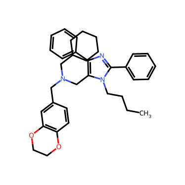 CCCCn1c(-c2ccccc2)nc(-c2ccccc2)c1CN(Cc1ccc2c(c1)OCCO2)CC1CCCCC1